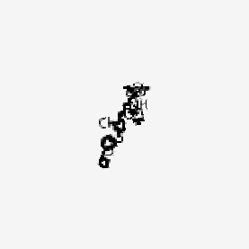 CCOP(=O)(OCC)C(F)CC(CCCc1ccc(Sc2cccc(OCc3ccccc3)c2)cc1Cl)NC(=O)OC(C)(C)C